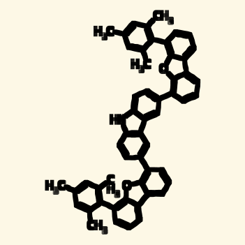 Cc1cc(C)c(-c2cccc3c2oc2c(-c4ccc5[nH]c6ccc(-c7cccc8c7oc7c(-c9c(C)cc(C)cc9C)cccc78)cc6c5c4)cccc23)c(C)c1